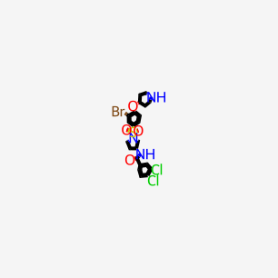 O=C(NC1CCN(S(=O)(=O)c2ccc(OC3CCNCC3)c(Br)c2)C1)c1ccc(Cl)c(Cl)c1